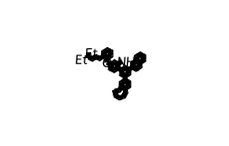 CCC(/C=C/Cc1ccccc1Oc1ccc(-c2cc(-c3ccc4c(c3)/C=C/CC/C=C\4)cc(-c3ccc4ccccc4c3)c2)c(N)c1)CC